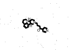 O=C(CCCN1CC[C@H]2[C@@H](C1)c1cccc3c1N2CCC3)c1ccncc1